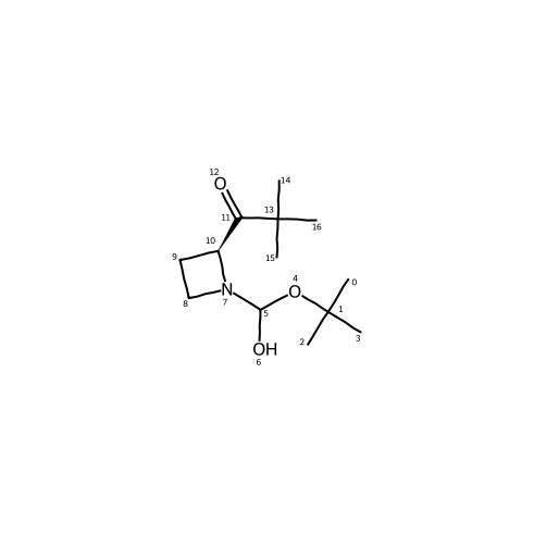 CC(C)(C)OC(O)N1CC[C@H]1C(=O)C(C)(C)C